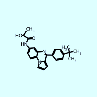 CC(O)C(=O)Nc1ccc2c(c1)nc(-c1ccc(C(C)(C)C)cc1)c1cccn12